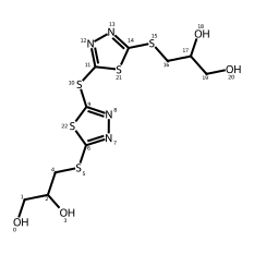 OCC(O)CSc1nnc(Sc2nnc(SCC(O)CO)s2)s1